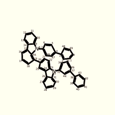 c1ccc(-c2ccc(-n3c4ccccc4c4cccc(-c5ccc6c(c5)c5ccccc5n6-c5cccc(-c6ccccc6)c5)c43)cc2)cc1